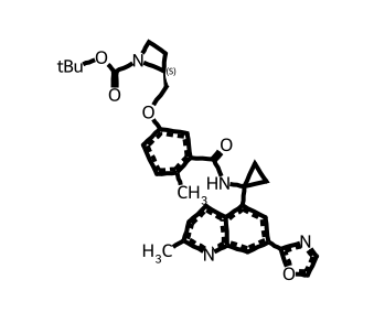 Cc1ccc2c(C3(NC(=O)c4cc(OC[C@@H]5CCN5C(=O)OC(C)(C)C)ccc4C)CC3)cc(-c3ncco3)cc2n1